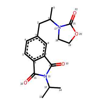 CC(Cc1ccc2c(c1)C(=O)N(C(C)C)C2=O)N1CCOC1=O